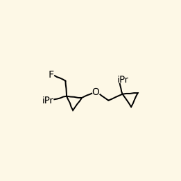 CC(C)C1(COC2CC2(CF)C(C)C)CC1